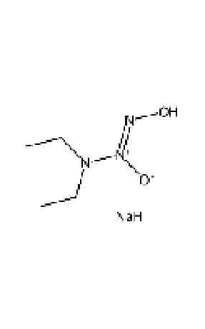 CCN(CC)/[N+]([O-])=N/O.[NaH]